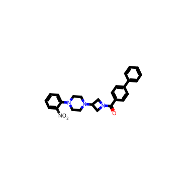 O=C(c1ccc(-c2ccccc2)cc1)N1CC(N2CCN(c3ccccc3[N+](=O)[O-])CC2)C1